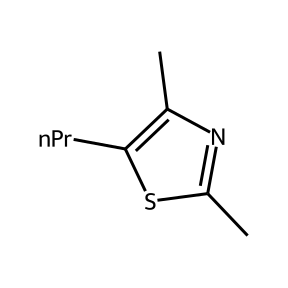 CCCc1sc(C)nc1C